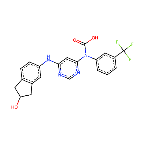 O=C(O)N(c1cccc(C(F)(F)F)c1)c1cc(Nc2ccc3c(c2)CC(O)C3)ncn1